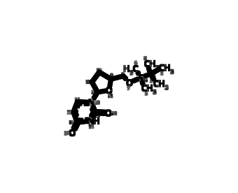 CC(C)(C)[Si](C)(C)OCC1CCC(n2ccc(=O)[nH]c2=O)O1